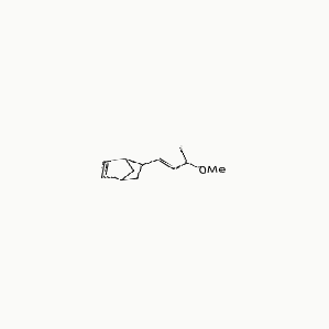 COC(C)C=CC1CC2C=CC1C2